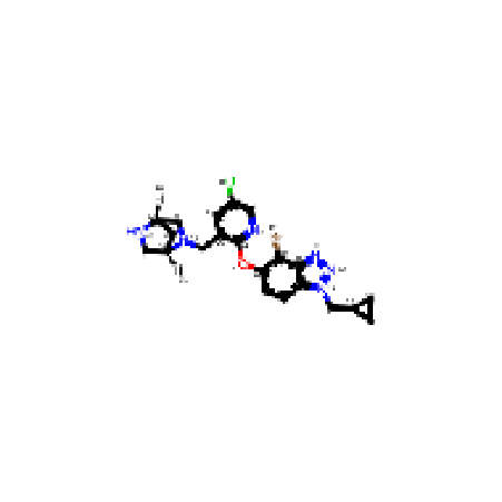 Clc1cnc(Oc2ccc3c(nnn3CC3CC3)c2Br)c(CN2C[C@@H]3C[C@H]2CN3)c1